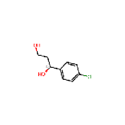 OCC[C@H](O)c1ccc(Cl)cc1